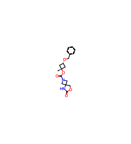 C[C@]1(OC(=O)N2CC3(COC(=O)N3)C2)C[C@@H](OCc2ccccc2)C1